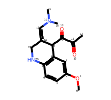 COc1ccc2c(c1)C(C(=O)C(C)=O)/C(=C\N(C)C)CN2